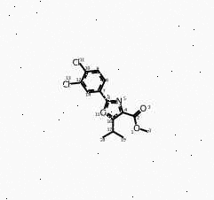 COC(=O)c1nc(-c2ccc(Cl)c(Cl)c2)oc1C(C)C